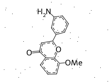 COc1cccc2c(=O)cc(-c3cccc(N)c3)oc12